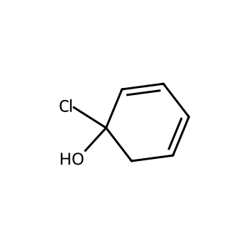 OC1(Cl)C=CC=CC1